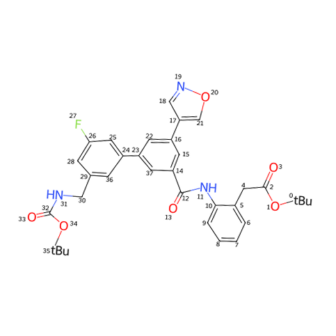 CC(C)(C)OC(=O)Cc1ccccc1NC(=O)c1cc(-c2cnoc2)cc(-c2cc(F)cc(CNC(=O)OC(C)(C)C)c2)c1